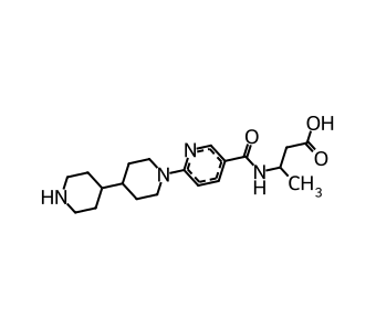 CC(CC(=O)O)NC(=O)c1ccc(N2CCC(C3CCNCC3)CC2)nc1